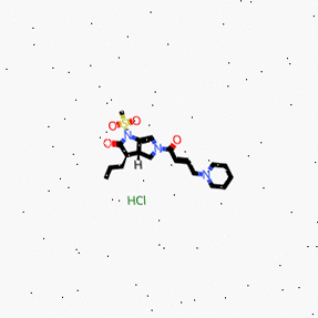 CCC[C@H]1C(=O)N(S(C)(=O)=O)C2=CN(C(=O)C=CCN3CCCCC3)C[C@@H]21.Cl